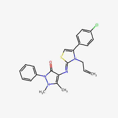 C=CCn1c(-c2ccc(Cl)cc2)cs/c1=N\c1c(C)n(C)n(-c2ccccc2)c1=O